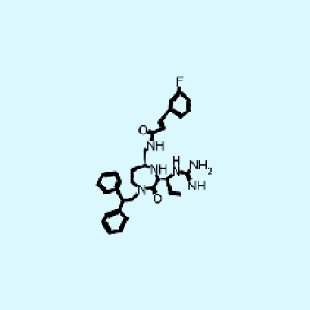 CCC(NC(=N)N)[C@@H]1N[C@H](CNC(=O)/C=C/c2cccc(F)c2)CCN(CC(c2ccccc2)c2ccccc2)C1=O